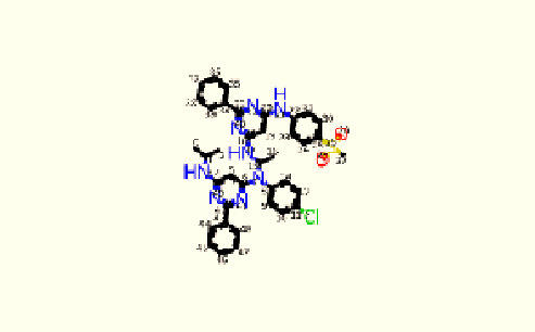 CC(C)Nc1cc(N(c2ccc(Cl)cc2)C(C)Nc2cc(Nc3ccc(S(C)(=O)=O)cc3)nc(-c3ccccc3)n2)nc(-c2ccccc2)n1